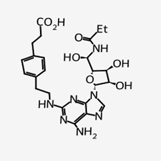 CCC(=O)N[C@H](O)[C@H]1O[C@@H](n2cnc3c(N)nc(NCCc4ccc(CCC(=O)O)cc4)nc32)[C@H](O)[C@@H]1O